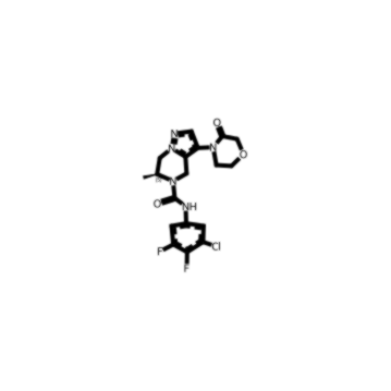 C[C@H]1Cn2ncc(N3CCOCC3=O)c2CN1C(=O)Nc1cc(F)c(F)c(Cl)c1